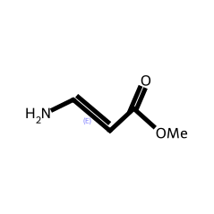 COC(=O)/C=C/N